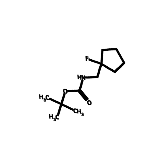 CC(C)(C)OC(=O)NCC1(F)CCCC1